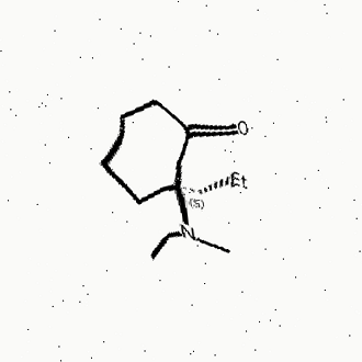 CC[C@]1(N(C)C)CCCCC1=O